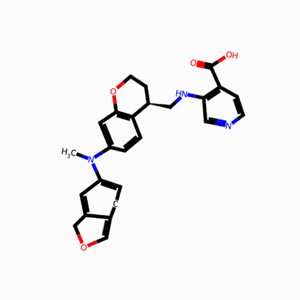 CN(C1=CCC2=COCC2=C1)c1ccc2c(c1)OCC[C@H]2CNc1cnccc1C(=O)O